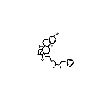 CN(Cc1ccccc1)C(=O)CCCC[C@]12CC[C@@H]3c4ccc(O)cc4CC[C@H]3[C@@H]1CCC2=O